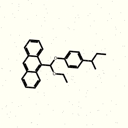 CCOC(Oc1ccc(C(C)CC)cc1)c1c2ccccc2cc2ccccc12